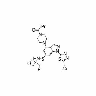 CC(C)C(=O)N1CCN(c2cc(SNC3(CF)COC3)cc3c2cnn3-c2nnc(C3CC3)s2)CC1